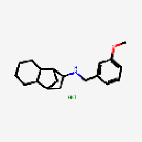 COc1cccc(CNC2CC3CC2C2CCCCC32)c1.Cl